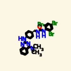 CN(C)c1nc(N[C@H]2CC[C@@H](CNC(=O)Nc3c(Br)cc(Br)cc3Br)CC2)nc2ccccc12